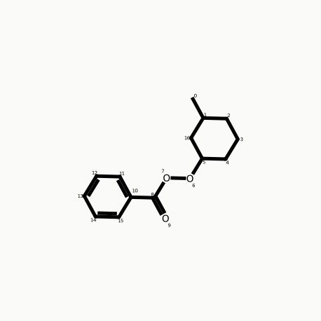 CC1CCC[C](OOC(=O)c2ccccc2)C1